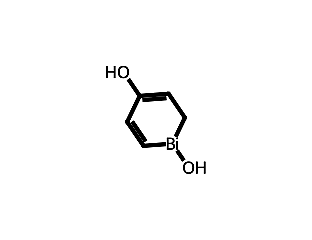 OC1=C[CH2][Bi]([OH])[CH]=C1